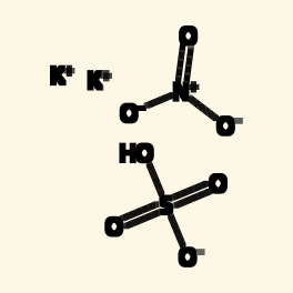 O=S(=O)([O-])O.O=[N+]([O-])[O-].[K+].[K+]